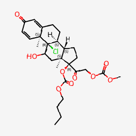 CCCCOC(=O)O[C@]1(C(=O)COC(=O)OC)CC[C@H]2[C@@H]3CCC4=CC(=O)C=C[C@]4(C)[C@@]3(Cl)C(O)C[C@@]21C